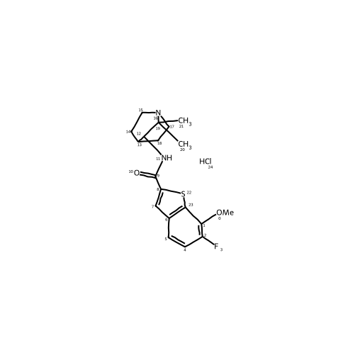 COc1c(F)ccc2cc(C(=O)NC3C4CCN(CC4)C3(C)C)sc12.Cl